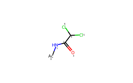 CC(=O)NC(=O)C(Cl)Cl